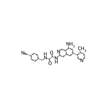 Cc1ccncc1-c1cc(N)c2cnc(NC(=O)C(=O)NCc3ccc(C#N)cc3)cc2c1